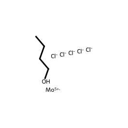 CCCCO.[Cl-].[Cl-].[Cl-].[Cl-].[Cl-].[Mo+5]